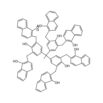 CC(c1cc(Cc2ccc3ccccc3c2O)c(O)c(Cc2ccc3ccccc3c2O)c1)(c1cc(Cc2ccc3ccccc3c2O)c(O)c(Cc2ccc3ccccc3c2O)c1)c1cc(Cc2ccc3ccccc3c2O)c(O)c(Cc2ccc3ccccc3c2O)c1